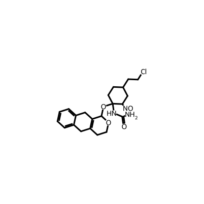 NC(=O)NC1(OC2OCCC3=C2Cc2ccccc2C3)CCC(CCCl)CC1N=O